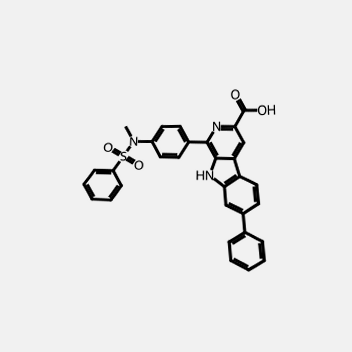 CN(c1ccc(-c2nc(C(=O)O)cc3c2[nH]c2cc(-c4ccccc4)ccc23)cc1)S(=O)(=O)c1ccccc1